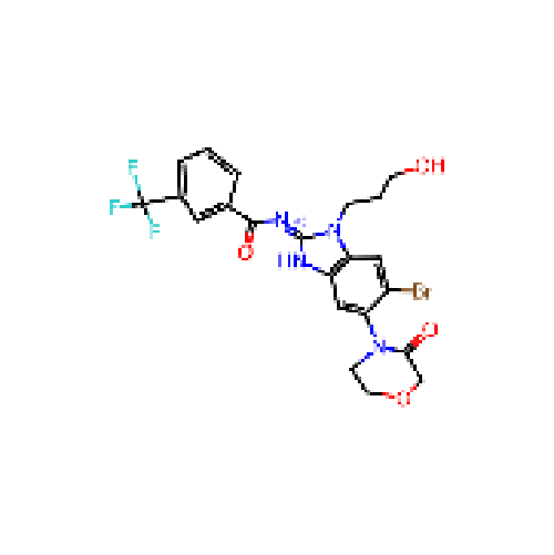 O=C(/N=c1\[nH]c2cc(N3CCOCC3=O)c(Br)cc2n1CCCO)c1cccc(C(F)(F)F)c1